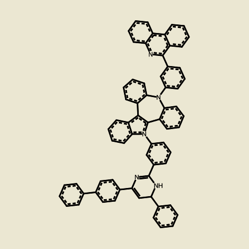 C1=C(c2ccc(-c3ccccc3)cc2)N=C(c2cccc(-n3c4c(c5ccccc53)-c3ccccc3N(c3cccc(-c5nc6ccccc6c6ccccc56)c3)c3ccccc3-4)c2)NC1c1ccccc1